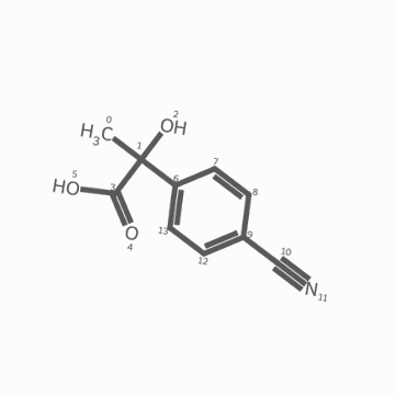 CC(O)(C(=O)O)c1ccc(C#N)cc1